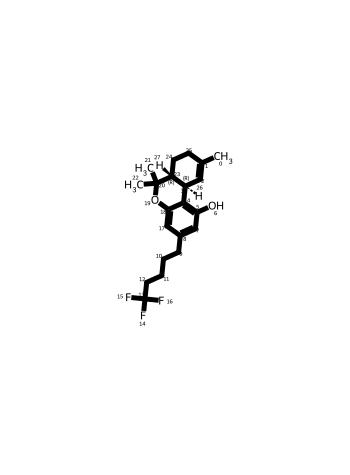 CC1=C[C@H]2c3c(O)cc(CCCCC(F)(F)F)cc3OC(C)(C)[C@@H]2CC1